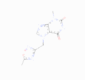 CCCc1nc(Cn2cnc3c2c(=O)[nH]c(=O)n3C)no1